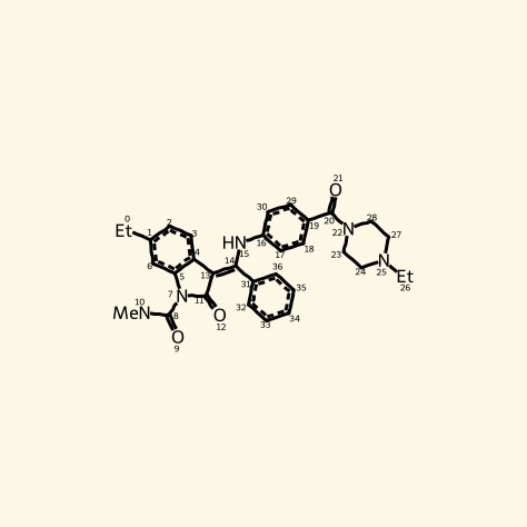 CCc1ccc2c(c1)N(C(=O)NC)C(=O)C2=C(Nc1ccc(C(=O)N2CCN(CC)CC2)cc1)c1ccccc1